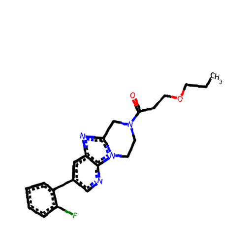 CCCOCCC(=O)N1CCn2c(nc3cc(-c4ccccc4F)cnc32)C1